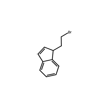 BrCCC1C=[C]c2ccccc21